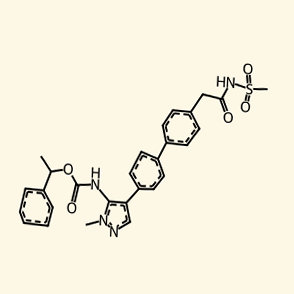 CC(OC(=O)Nc1c(-c2ccc(-c3ccc(CC(=O)NS(C)(=O)=O)cc3)cc2)cnn1C)c1ccccc1